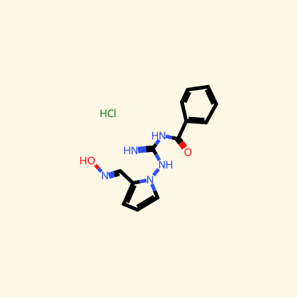 Cl.N=C(NC(=O)c1ccccc1)Nn1cccc1C=NO